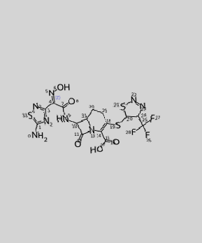 Nc1nc(/C(=N/O)C(=O)NC2C(=O)N3C(C(=O)O)=C(SC4SN=NC4C(F)(F)F)CCC23)ns1